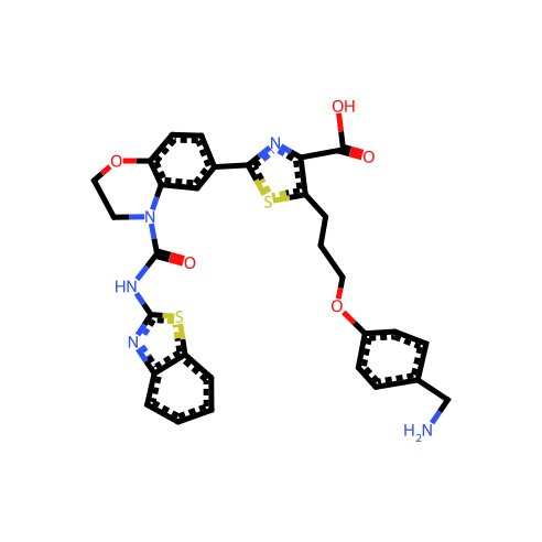 NCc1ccc(OCCCc2sc(-c3ccc4c(c3)N(C(=O)Nc3nc5ccccc5s3)CCO4)nc2C(=O)O)cc1